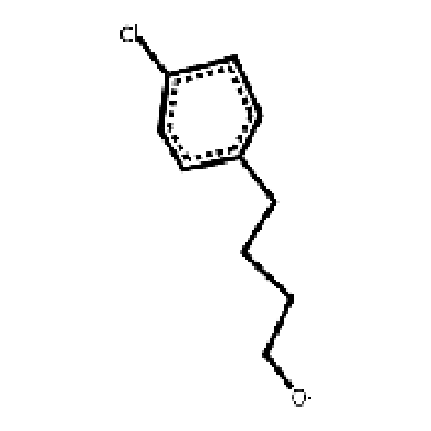 [O]CCCCc1ccc(Cl)cc1